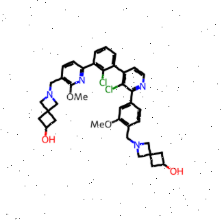 COc1cc(-c2nccc(-c3cccc(-c4ccc(CN5CC6(CC(O)C6)C5)c(OC)n4)c3Cl)c2Cl)ccc1CN1CC2(CC(O)C2)C1